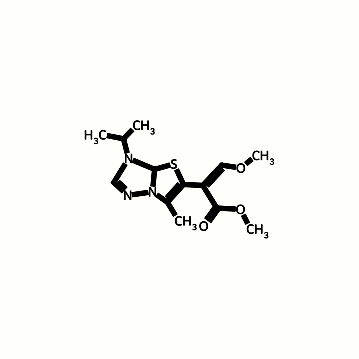 COC=C(C(=O)OC)C1=C(C)N2N=CN(C(C)C)C2S1